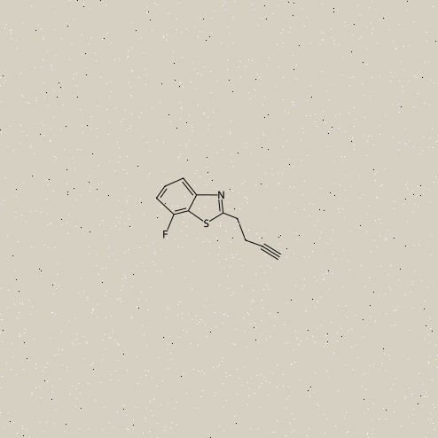 C#CCCc1nc2cccc(F)c2s1